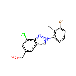 Cc1c(Br)cccc1-n1cc2cc(CO)cc(Cl)c2n1